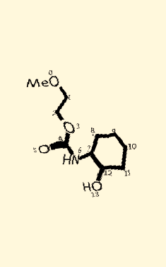 COCCOC(=O)NC1[CH]CCCC1O